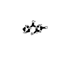 O=C(n1cncn1)n1nc(Cl)nc1Br